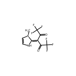 CN1C=CNC1=C(C(=O)C(F)(F)F)C(=O)C(F)(F)F